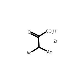 CC(=O)C(C(C)=O)C(=O)C(=O)O.[Zr]